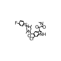 CC1CN(C(=O)c2cc3c(C(=O)C(=O)N(C)C)c[nH]c3cc2Cl)C(C)CN1Cc1ccc(F)cc1